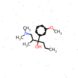 CCCC(O)(c1cccc(OC)c1)C(C)CN(C)C